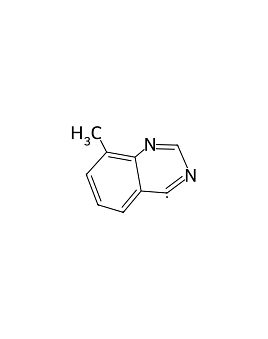 Cc1cccc2[c]ncnc12